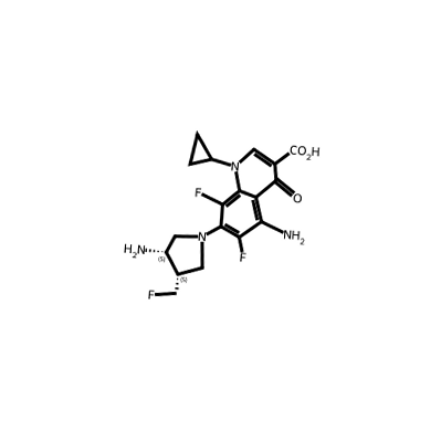 Nc1c(F)c(N2C[C@H](CF)[C@H](N)C2)c(F)c2c1c(=O)c(C(=O)O)cn2C1CC1